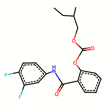 CCC(C)COC(=O)Oc1ccccc1C(=O)Nc1ccc(F)c(F)c1